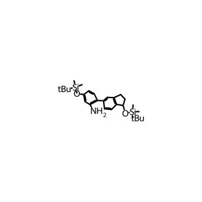 CC(C)(C)[Si](C)(C)Oc1ccc(-c2ccc3c(c2)CCC3O[Si](C)(C)C(C)(C)C)c(N)c1